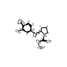 CC(C)(C)OC(=O)N1CCCC1Nc1ccc(Cl)c(Cl)c1